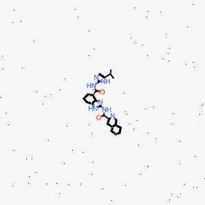 CC(C)c1cnc(NC(=O)c2cccc3[nH]c(NC(=O)c4cc5ccccc5cn4)nc23)[nH]1